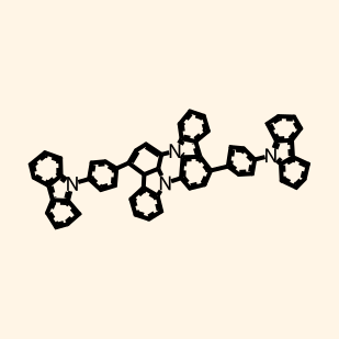 C1=C(c2ccc(-n3c4ccccc4c4ccccc43)cc2)C2c3ccccc3N3c4ccc(-c5ccc(-n6c7ccccc7c7ccccc76)cc5)c5c6ccccc6n(c45)C(=C1)C23